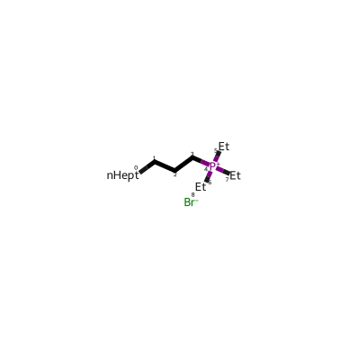 CCCCCCCCCC[P+](CC)(CC)CC.[Br-]